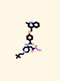 Cc1cc(COc2ccc(C(=O)NC3(CC(=O)NO)CCN(CCC(C)(C)C)CC3)cc2)c2ccccc2n1